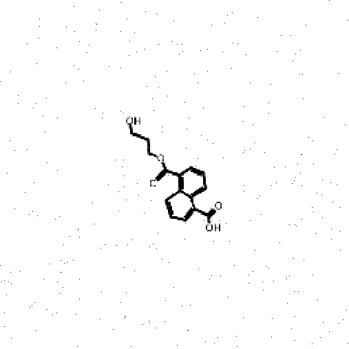 O=C(O)c1cccc2c(C(=O)OCCCO)cccc12